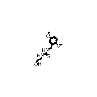 COc1ccc(OC)c(CNC(=S)NCCO)c1